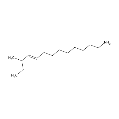 CCC(C)/C=C/CCCCCCCCN